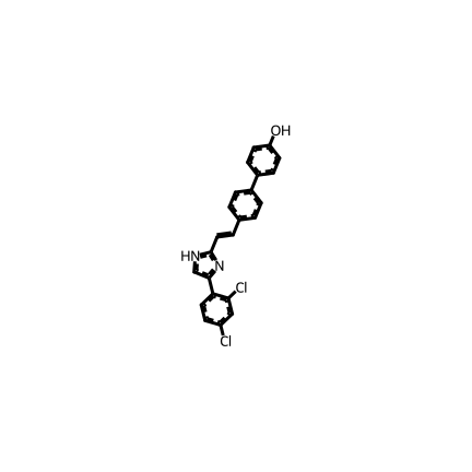 Oc1ccc(-c2ccc(C=Cc3nc(-c4ccc(Cl)cc4Cl)c[nH]3)cc2)cc1